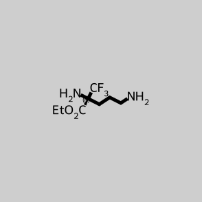 CCOC(=O)[C@](N)(CCCN)C(F)(F)F